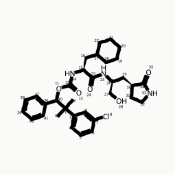 CC(C)(c1cccc(Cl)c1)C(OC(=O)N[C@@H](CC1CCCCC1)C(=O)N[C@H](CO)C[C@@H]1CCNC1=O)c1ccccc1